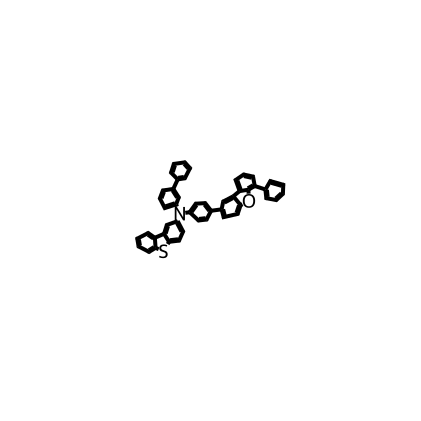 c1ccc(-c2cccc(N(c3ccc(-c4ccc5oc6c(-c7ccccc7)cccc6c5c4)cc3)c3ccc4sc5ccccc5c4c3)c2)cc1